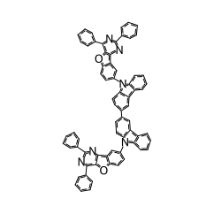 c1ccc(-c2nc(-c3ccccc3)c3oc4ccc(-n5c6ccccc6c6cc(-c7ccc8c(c7)c7ccccc7n8-c7ccc8oc9c(-c%10ccccc%10)nc(-c%10ccccc%10)nc9c8c7)ccc65)cc4c3n2)cc1